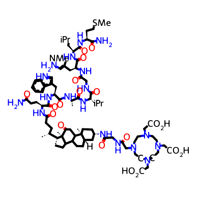 CN/C(=C\N)C[C@H](NC(=O)CNC(=O)[C@@H](NC(=O)[C@H](C)NC(=O)[C@H](Cc1c[nH]c2ccccc12)NC(=O)[C@H](CCC(N)=O)NC(=O)CC[C@@H](C)[C@H]1CCC2C3CC[C@@H]4C[C@@H](NC(=O)CNC(=O)CN5CCN(CC(=O)O)CCN(CC(=O)O)CCN(CC(=O)O)CC5)CC[C@]4(C)C3CC(=O)[C@@]21C)C(C)C)C(=O)N[C@@H](CC(C)C)C(=O)N[C@@H](CCSC)C(N)=O